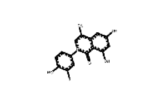 N#Cc1cn(-c2ccc(O)c(F)c2)c(=O)c2c(O)cc(O)cc12